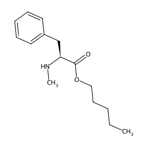 CCCCCOC(=O)[C@H](Cc1ccccc1)NC